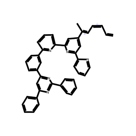 C=C/C=C\C=C(/C)c1cc(-c2ccccn2)nc(-c2cccc(-c3cccc(-c4cc(-c5ccccc5)nc(-c5ccccc5)n4)c3)n2)c1